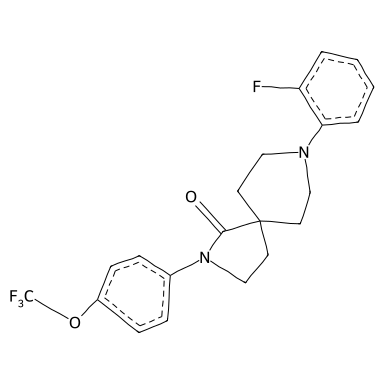 O=C1N(c2ccc(OC(F)(F)F)cc2)CCC12CCN(c1ccccc1F)CC2